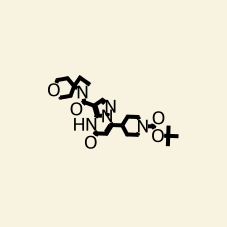 CC(C)(C)OC(=O)N1CCC(c2cc(=O)[nH]c3c(C(=O)N4CCC45CCOCC5)cnn23)CC1